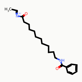 C/C=N/C(=O)CCCCCCCCCCCNC(=O)c1ccccc1